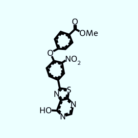 COC(=O)c1ccc(Oc2ccc(-c3nc4c(O)ncnc4s3)cc2[N+](=O)[O-])cc1